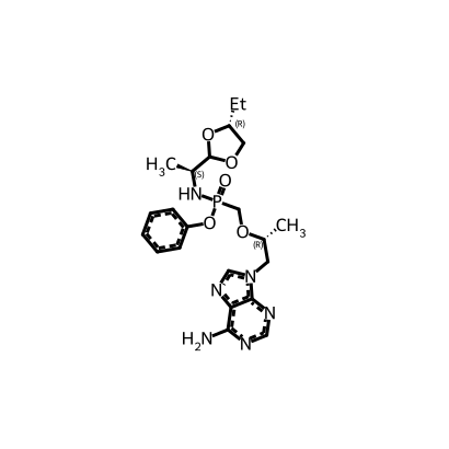 CC[C@@H]1COC([C@H](C)NP(=O)(CO[C@H](C)Cn2cnc3c(N)ncnc32)Oc2ccccc2)O1